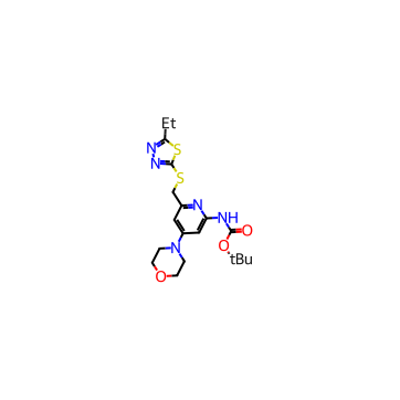 CCc1nnc(SCc2cc(N3CCOCC3)cc(NC(=O)OC(C)(C)C)n2)s1